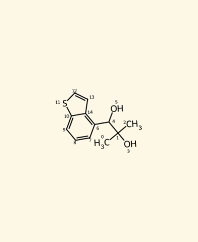 CC(C)(O)C(O)c1cccc2sccc12